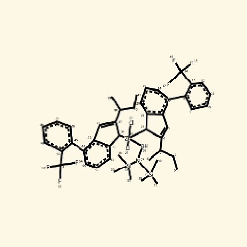 CCC(C)C1=Cc2c(-c3ccccc3C(F)(F)F)cccc2[CH]1[Zr]([Cl])([Cl])([BH]N([Si](C)(C)C)[Si](C)(C)C)[CH]1C(C(C)CC)=Cc2c(-c3ccccc3C(F)(F)F)cccc21